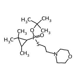 CC1C(P(=O)(OC(C)(C)C)SCCN2CCOCC2)C1(C)C